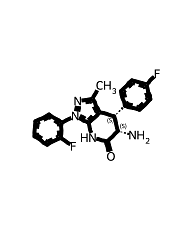 Cc1nn(-c2ccccc2F)c2c1[C@H](c1ccc(F)cc1)[C@H](N)C(=O)N2